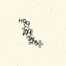 O=C(O)CC1CCN(c2c(F)cc(-c3cccc(COC4CCC4)n3)cc2F)CC1